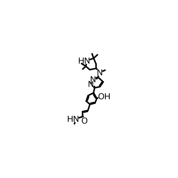 CNC(=O)/C=C/c1ccc(-c2ccc(N(C)C3CC(C)(C)NC(C)(C)C3)nn2)c(O)c1